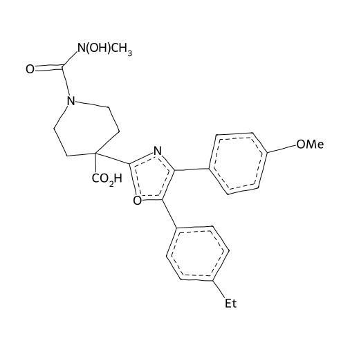 CCc1ccc(-c2oc(C3(C(=O)O)CCN(C(=O)N(C)O)CC3)nc2-c2ccc(OC)cc2)cc1